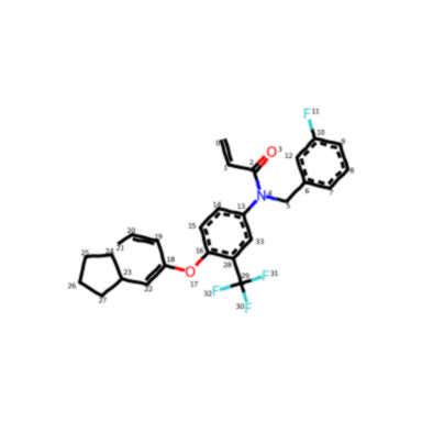 C=CC(=O)N(Cc1cccc(F)c1)c1ccc(OC(/C=C\C)=C/C2CCCC2)c(C(F)(F)F)c1